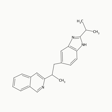 CC(C)c1nc2cc(CC(C)c3cc4ccccc4cn3)ccc2[nH]1